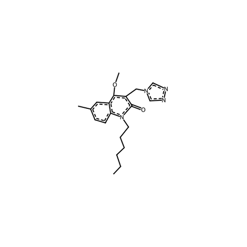 CCCCCCn1c(=O)c(Cn2cnnc2)c(OC)c2cc(C)ccc21